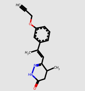 C#CCOc1cccc(C(C)=CC2=NNC(=O)CC2C)c1